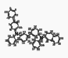 c1ccc(-c2ccc(-n3c4ccccc4c4ccc(-c5cccc6c5c5ccccc5n6-c5ccc6ccccc6c5)cc43)cc2)cc1